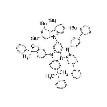 CC(C)(C)c1cc(C(C)(C)C)c2c3c(C(C)(C)C)cc(C(C)(C)C)cc3n(-c3cc4c5c(c3)N(c3ccc(C(C)(C)c6ccccc6)cc3)c3ccc(C(C)(C)c6ccccc6)cc3B5c3cc(-c5ccccc5)ccc3N4c3ccc(-c4ccccc4)cc3)c2c1